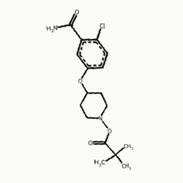 CC(C)(C)C(=O)ON1CCC(Oc2ccc(Cl)c(C(N)=O)c2)CC1